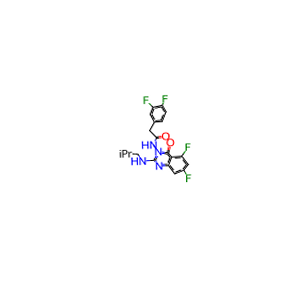 CC(C)CNc1nc2cc(F)cc(F)c2c(=O)n1NC(=O)Cc1ccc(F)c(F)c1